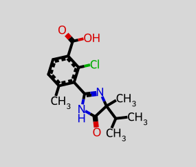 Cc1ccc(C(=O)O)c(Cl)c1C1=NC(C)(C(C)C)C(=O)N1